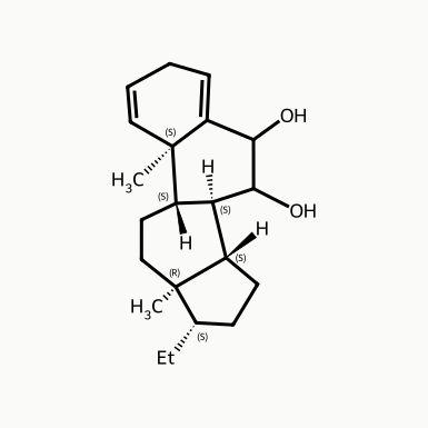 CC[C@H]1CC[C@H]2[C@@H]3C(O)C(O)C4=CCC=C[C@]4(C)[C@H]3CC[C@]12C